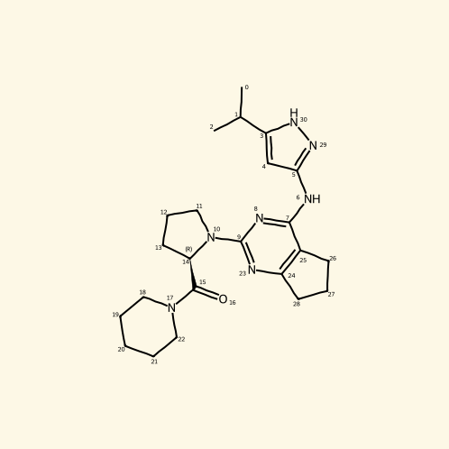 CC(C)c1cc(Nc2nc(N3CCC[C@@H]3C(=O)N3CCCCC3)nc3c2CCC3)n[nH]1